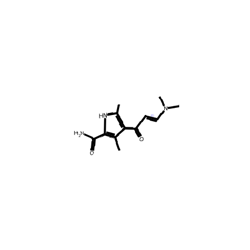 Cc1[nH]c(C(N)=O)c(C)c1C(=O)/C=C/N(C)C